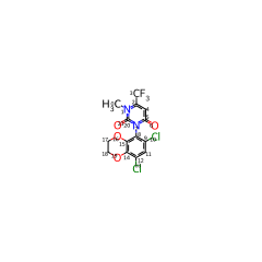 Cn1c(C(F)(F)F)cc(=O)n(-c2c(Cl)cc(Cl)c3c2OCCO3)c1=O